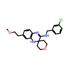 COCCc1ccc2c(c1)NC1(CCOCC1)C(NCc1cccc(Cl)c1)=N2